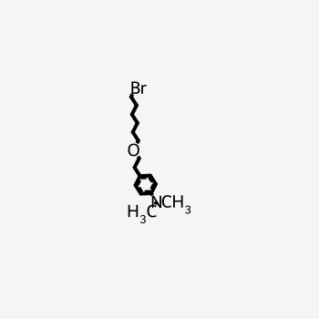 CN(C)c1ccc(CCOCCCCCCBr)cc1